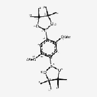 COc1cc(B2OC(C)(C)C(C)(C)O2)c(OC)cc1B1OC(C)(C)C(C)(C)O1